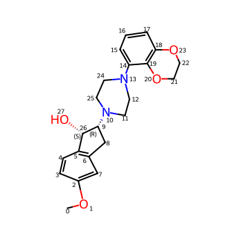 COc1ccc2c(c1)C[C@@H](N1CCN(c3cccc4c3OCCO4)CC1)[C@H]2O